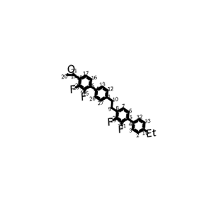 CCc1ccc(-c2ccc(CCc3ccc(-c4ccc(C5CO5)c(F)c4F)cc3)c(F)c2F)cc1